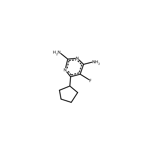 Nc1nc(N)c(F)c(C2CCCC2)n1